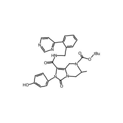 CC1Cn2c(c(C(=O)NCc3ccccc3-c3ccncn3)n(-c3ccc(O)cc3)c2=O)CN1C(=O)OC(C)(C)C